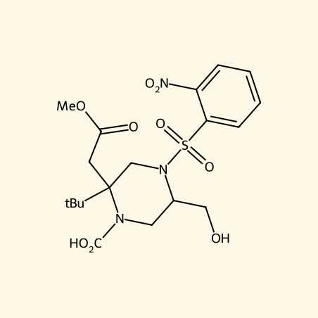 COC(=O)CC1(C(C)(C)C)CN(S(=O)(=O)c2ccccc2[N+](=O)[O-])C(CO)CN1C(=O)O